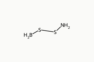 BSSN